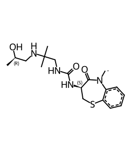 [CH2]N1C(=O)[C@H](NC(=O)NCC(C)(C)NC[C@@H](C)O)CSc2ccccc21